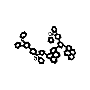 O=P(c1ccccc1)(c1ccccc1)c1cccc(-c2cc(-c3ccc4ccc5cccc6ccc3c4c56)cc(-c3ccc4c(-c5cccc(P(=O)(c6ccccc6)c6ccc(-c7ccc8c(c7)c7ccccc7n8-c7ccccc7)cc6)c5)cc5cccc6ccc3c4c65)c2)c1